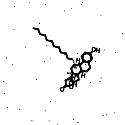 CCCCCCCCCCCC[C@H]1C[C@@]2(C)[C@@H](CC3OC(=O)C[C@@]32O)[C@@H]2CCc3cc(O)ccc3[C@@H]12